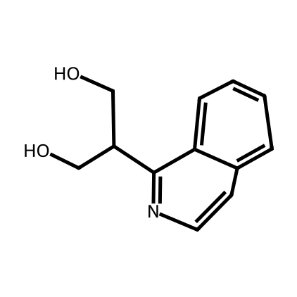 OCC(CO)c1nccc2ccccc12